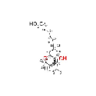 CC1=CC[C@@H]2[C@@H](C1)c1c(O)cc(C(C)(C)CCCCCC(=O)O)cc1OC2(C)C